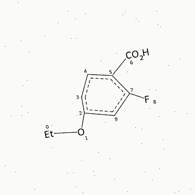 CCOc1ccc(C(=O)O)c(F)c1